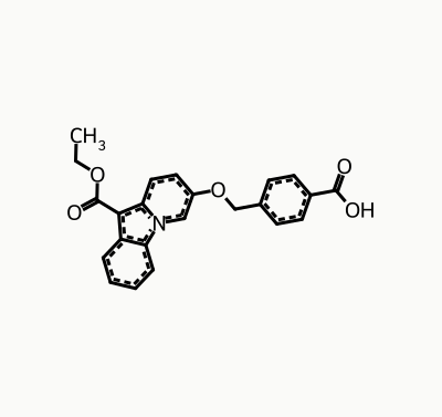 CCOC(=O)c1c2ccccc2n2cc(OCc3ccc(C(=O)O)cc3)ccc12